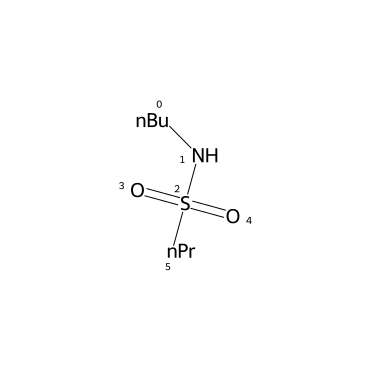 [CH2]CCCNS(=O)(=O)CCC